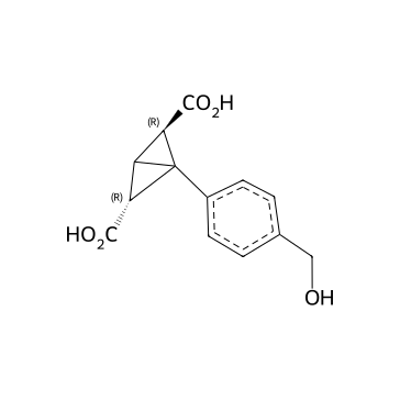 O=C(O)[C@@H]1C2[C@@H](C(=O)O)C21c1ccc(CO)cc1